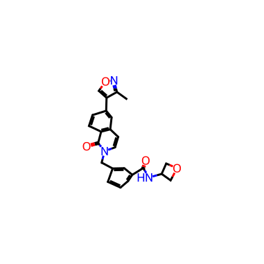 Cc1nocc1-c1ccc2c(=O)n(Cc3cccc(C(=O)NC4COC4)c3)ccc2c1